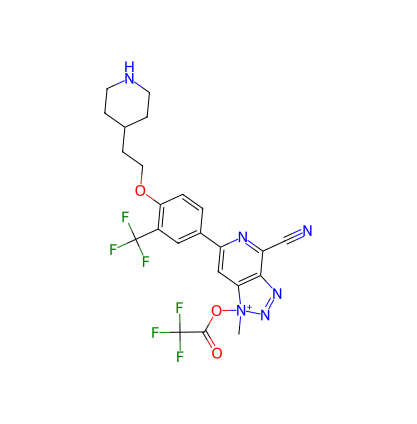 C[N+]1(OC(=O)C(F)(F)F)N=Nc2c1cc(-c1ccc(OCCC3CCNCC3)c(C(F)(F)F)c1)nc2C#N